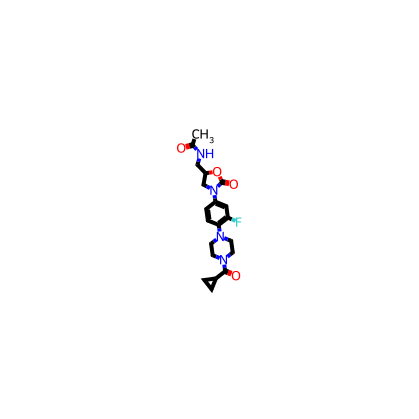 CC(=O)NCC1CN(c2ccc(N3CCN(C(=O)C4CC4)CC3)c(F)c2)C(=O)O1